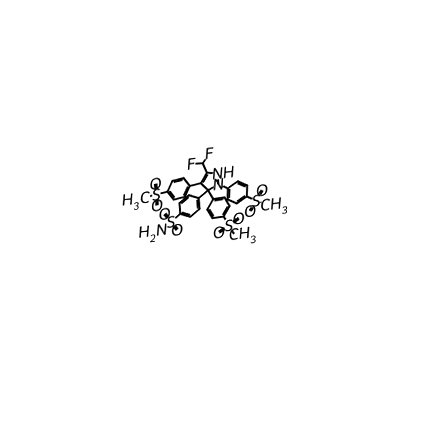 CS(=O)(=O)c1ccc(C2=C(C(F)F)NN(c3ccc(S(C)(=O)=O)cc3)C2(c2ccc(S(C)(=O)=O)cc2)c2ccc(S(N)(=O)=O)cc2)cc1